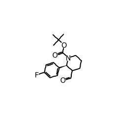 CC(C)(C)OC(=O)N1CCCC(C=O)[C@H]1c1ccc(F)cc1